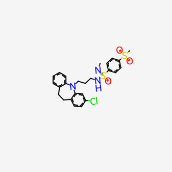 CN=S(=O)(NCCCN1c2ccccc2CCc2ccc(Cl)cc21)c1ccc(S(C)(=O)=O)cc1